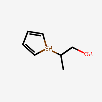 CC(CO)[SH]1C=CC=C1